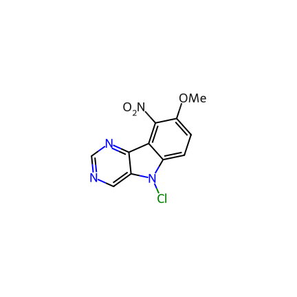 COc1ccc2c(c1[N+](=O)[O-])c1ncncc1n2Cl